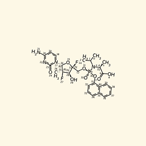 CC(C)N([C@@H](C)C(=O)O)[P@](=O)(OC[C@@]1(F)O[C@@H](n2ccc(N)nc2=O)[C@](C)(F)[C@@H]1O)Oc1cccc2ccccc12